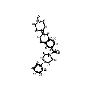 CN1CCN(C2CCc3cc(C(=O)N4CCN(c5ccccc5)CC4)ccc3C2)CC1